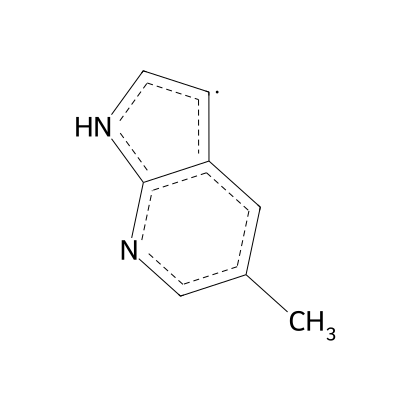 Cc1cnc2[nH]c[c]c2c1